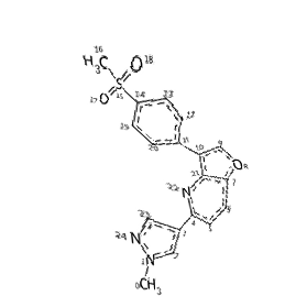 Cn1cc(-c2ccc3occ(-c4ccc(S(C)(=O)=O)cc4)c3n2)cn1